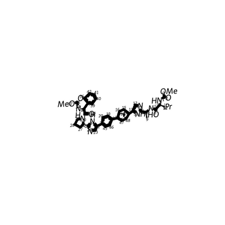 COC(=O)N[C@H](C(=O)N[C@@H](C)c1ncc(C23CCC(c4ccc(-c5cnc([C@@H]6CCCN6C(=O)[C@H](NC(=O)OC)c6ccccc6)[nH]5)cc4)(CC2)CC3)[nH]1)C(C)C